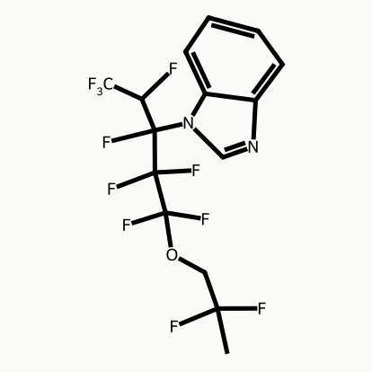 CC(F)(F)COC(F)(F)C(F)(F)C(F)(C(F)C(F)(F)F)n1cnc2ccccc21